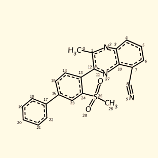 Cc1nc2cccc(C#N)c2nc1-c1ccc(-c2ccccc2)cc1S(C)(=O)=O